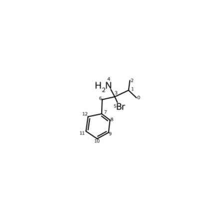 CC(C)C(N)(Br)Cc1ccccc1